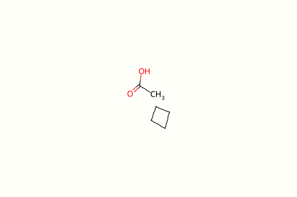 C1CCC1.CC(=O)O